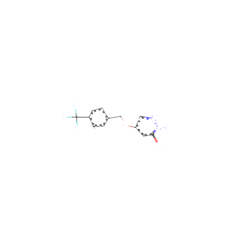 O=c1cc(OCc2ccc(C(F)(F)F)cc2)cn[nH]1